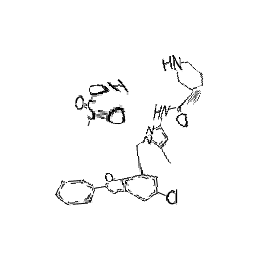 CS(=O)(=O)O.Cc1cc(NC(=O)[C@@H]2CCCNC2)nn1Cc1cc(Cl)cc2cc(-c3ccccc3)oc12